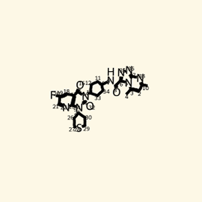 Cc1cc(C)n2c(C(=O)NC3CCC(n4c(=O)c5cc(F)cnc5n(C5CCSCC5)c4=O)CC3)nnc2n1